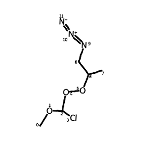 COC(Cl)OOC(C)CN=[N+]=[N-]